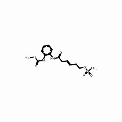 CC(C)(C)OC(=O)Nc1ccccc1NC(=O)CC=CCCOS(C)(=O)=O